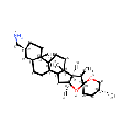 CC1[C@H]2[C@H](CC3C4CCC5C[C@@H](CN)CC[C@]5(C)C4CC[C@@]32C)O[C@]12CC[C@@H](C)CO2